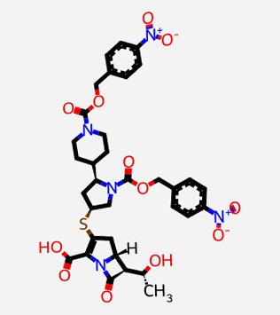 C[C@@H](O)[C@H]1C(=O)N2C(C(=O)O)=C(S[C@H]3C[C@@H](C4CCN(C(=O)OCc5ccc([N+](=O)[O-])cc5)CC4)N(C(=O)OCc4ccc([N+](=O)[O-])cc4)C3)C[C@H]12